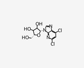 OC[C@H]1O[C@@H](n2cnc3c(Cl)cc(Cl)nc32)C(O)C1O